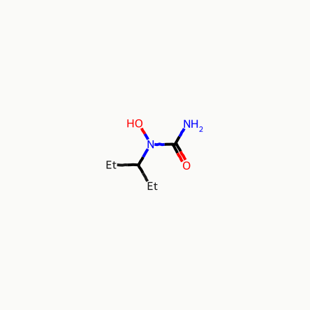 CCC(CC)N(O)C(N)=O